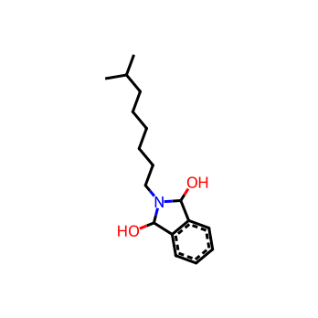 CC(C)CCCCCCN1C(O)c2ccccc2C1O